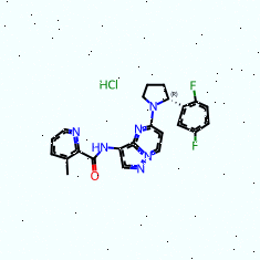 Cc1cccnc1C(=O)Nc1cnn2ccc(N3CCC[C@@H]3c3cc(F)ccc3F)nc12.Cl